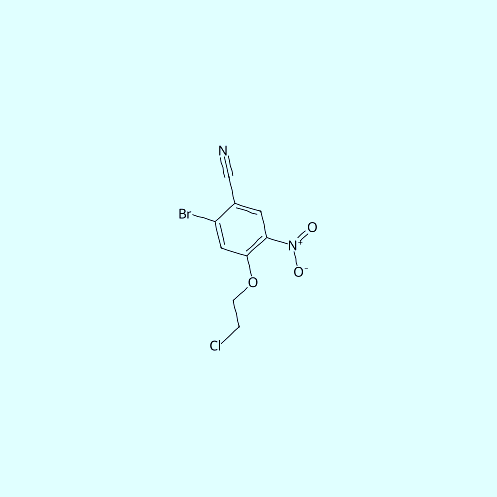 N#Cc1cc([N+](=O)[O-])c(OCCCl)cc1Br